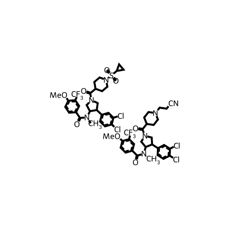 COc1ccc(C(=O)N(C)C2CN(C(=O)C3CCN(CCC#N)CC3)CC2c2ccc(Cl)c(Cl)c2)cc1C(F)(F)F.COc1ccc(C(=O)N(C)C2CN(C(=O)C3CCN(S(=O)(=O)C4CC4)CC3)CC2c2ccc(Cl)c(Cl)c2)cc1C(F)(F)F